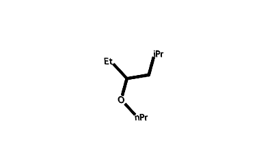 [CH2]CCOC(CC)CC(C)C